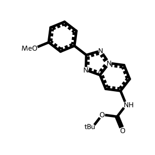 COc1cccc(-c2nc3cc(NC(=O)OC(C)(C)C)ccn3n2)c1